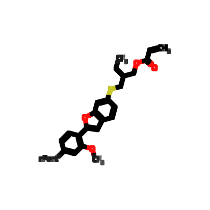 C=CC(=O)OCC(CSc1ccc2cc(-c3ccc(CCCCC)cc3OC(F)(F)F)oc2c1)CC(F)(F)F